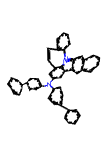 C1=Cc2cc(N(c3ccc(-c4ccccc4)cc3)c3ccc(-c4ccccc4)cc3)cc3c4cc5ccccc5cc4n(c23)-c2ccccc21